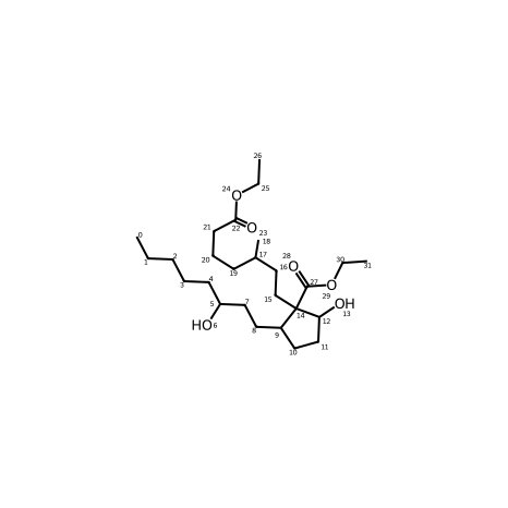 CCCCCC(O)CCC1CCC(O)C1(CCC(C)CCCC(=O)OCC)C(=O)OCC